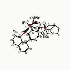 CSc1nc(N2CC3CCC(C2)N3C(=O)OC(C)(C)C)c2cnc(-c3cccc4ccc(F)c(C#C[Si](C(C)C)(C(C)C)C(C)C)c34)c(F)c2n1